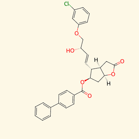 O=C1C[C@@H]2[C@@H](C=C[C@H](O)COc3cccc(Cl)c3)[C@H](OC(=O)c3ccc(-c4ccccc4)cc3)C[C@@H]2O1